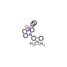 CC1(C)c2ccccc2-c2cc(N(c3ccc(-c4ccccc4)cc3)c3cccc4ccc5oc(-c6ccccc6)nc5c34)ccc21